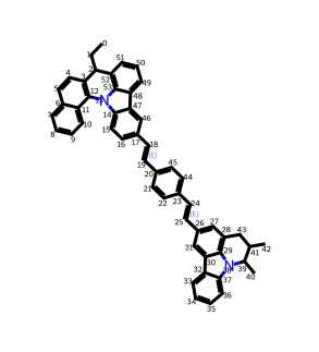 CCC1c2ccc3ccccc3c2-n2c3ccc(/C=C/c4ccc(/C=C/c5cc6c7c(c5)c5ccccc5n7C(C)C(C)C6)cc4)cc3c3cccc1c32